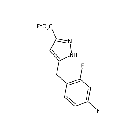 CCOC(=O)c1cc(Cc2ccc(F)cc2F)[nH]n1